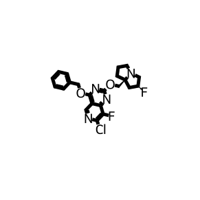 Fc1c(Cl)ncc2c(OCc3ccccc3)nc(OC[C@@]34CCCN3C[C@H](F)C4)nc12